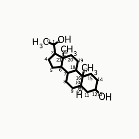 CC(O)C1CCC2C3CC[C@@H]4CC(O)CCC4(C)C3CC[C@@]12C